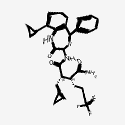 NC(=O)[C@H](CCC(F)(F)F)[C@H](CC1CC1)C(=O)NC1N=C(c2ccccc2)c2cccc(C3CC3)c2NC1=O